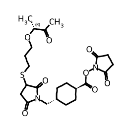 CC(=O)[C@@H](C)OCCCSC1CC(=O)N(C[C@H]2CC[C@H](C(=O)ON3C(=O)CCC3=O)CC2)C1=O